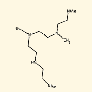 CCN(CCNCCNC)CCN(C)CCNC